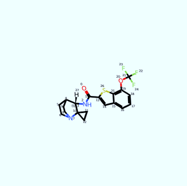 O=C(N[C@H]1C2CCN(CC2)C12CC2)c1cc2cccc(OC(F)(F)F)c2s1